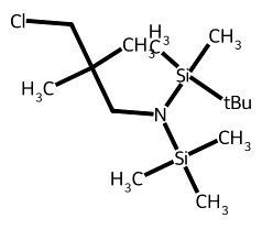 CC(C)(CCl)CN([Si](C)(C)C)[Si](C)(C)C(C)(C)C